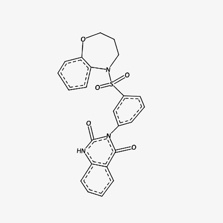 O=c1[nH]c2ccccc2c(=O)n1-c1cccc(S(=O)(=O)N2CCCOc3ccccc32)c1